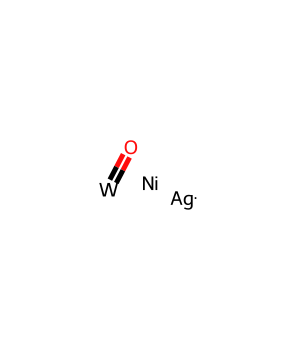 [Ag].[Ni].[O]=[W]